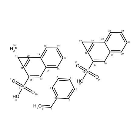 C=Cc1ccccc1.O=S(=O)(O)c1cc2ccccc2c2c1C2.O=S(=O)(O)c1cc2ccccc2c2c1C2.S